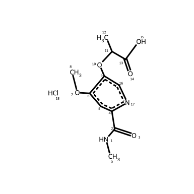 CNC(=O)c1cc(OC)c(OC(C)C(=O)O)cn1.Cl